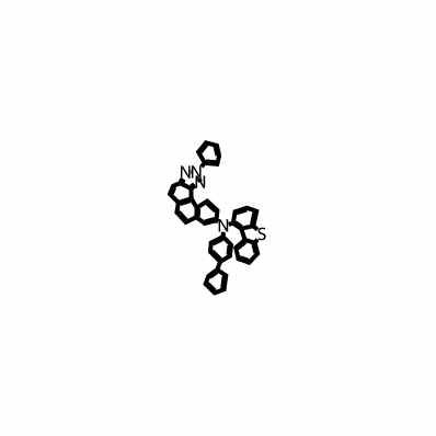 c1ccc(-c2ccc(N(c3ccc4c(ccc5ccc6nn(-c7ccccc7)nc6c54)c3)c3cccc4sc5ccccc5c34)cc2)cc1